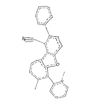 Cc1ccc2c(oc3ccc(-c4ccccc4)c(C#N)c32)c1-c1cccc[n+]1C